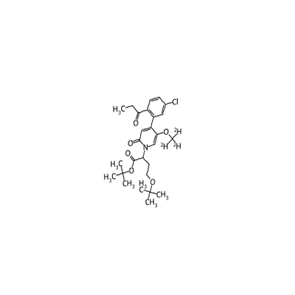 [2H]C([2H])([2H])Oc1cn(C(CCOC(C)(C)C)C(=O)OC(C)(C)C)c(=O)cc1-c1cc(Cl)ccc1C(=O)CC